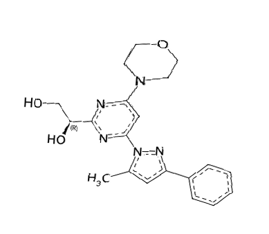 Cc1cc(-c2ccccc2)nn1-c1cc(N2CCOCC2)nc([C@@H](O)CO)n1